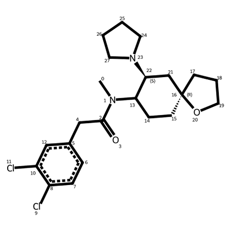 CN(C(=O)Cc1ccc(Cl)c(Cl)c1)C1CC[C@@]2(CCCO2)C[C@@H]1N1CCCC1